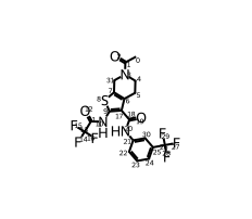 CC(=O)N1CCc2c(sc(NC(=O)C(F)(F)F)c2C(=O)Nc2cccc(C(F)(F)F)c2)C1